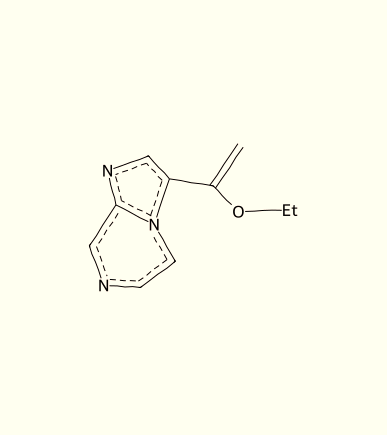 C=C(OCC)c1cnc2cnccn12